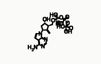 C=C1[C@H](COP(=O)(O)OP(=O)(O)OP(=O)(O)O)[C@@H](O)C[C@@H]1n1ccc2c(N)ncnc21